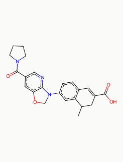 CC1CC(C(=O)O)=Cc2ccc(N3COc4cc(C(=O)N5CCCC5)cnc43)cc21